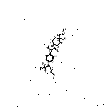 CCCO[C@H](c1ccc(N2CC[C@]3(CC[C@@](O)(COC)CC3)C2=O)cc1)C(F)(F)F